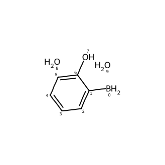 Bc1ccccc1O.O.O